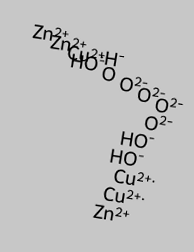 [Cu+2].[Cu+2].[Cu+2].[O-2].[O-2].[O-2].[O-2].[OH-].[OH-].[OH-].[OH-].[Zn+2].[Zn+2].[Zn+2]